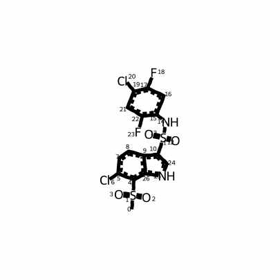 CS(=O)(=O)c1c(Cl)ccc2c(S(=O)(=O)Nc3cc(F)c(Cl)cc3F)c[nH]c12